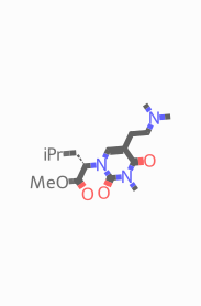 COC(=O)[C@H](CC(C)C)n1cc(CCN(C)C)c(=O)n(C)c1=O